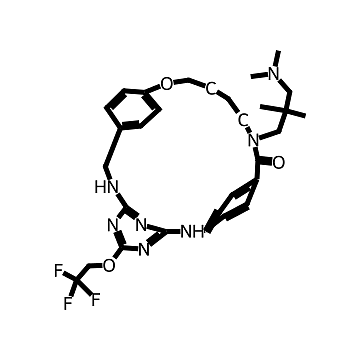 CN(C)CC(C)(C)CN1CCCCOc2ccc(cc2)CNc2nc(nc(OCC(F)(F)F)n2)Nc2ccc(cc2)C1=O